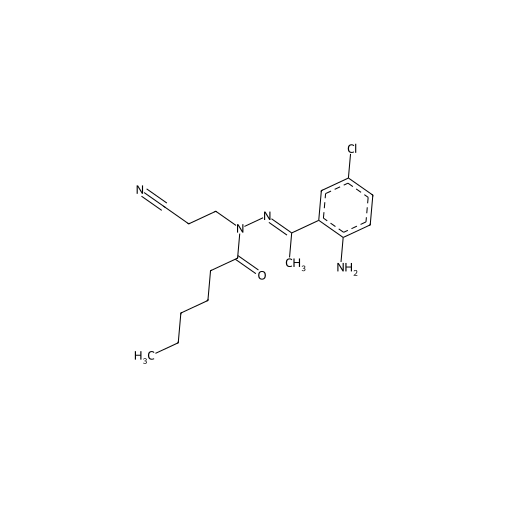 CCCCCC(=O)N(CCC#N)/N=C(\C)c1cc(Cl)ccc1N